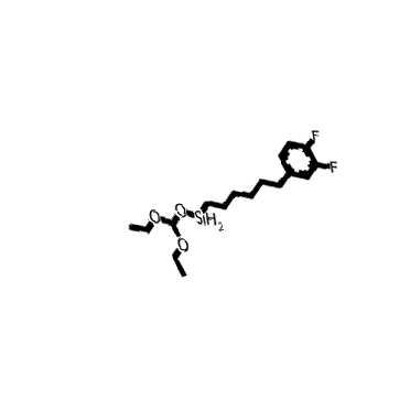 CCOC(OCC)O[SiH2]CCCCCCc1ccc(F)c(F)c1